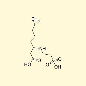 CCCCCC(CC(=O)O)NCCS(=O)(=O)O